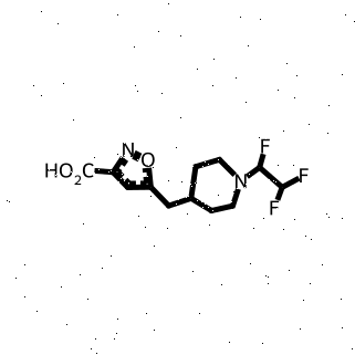 O=C(O)c1cc(CC2CCN(C(F)C(F)F)CC2)on1